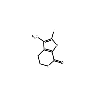 Cc1c(I)sc2c1CCOC2=O